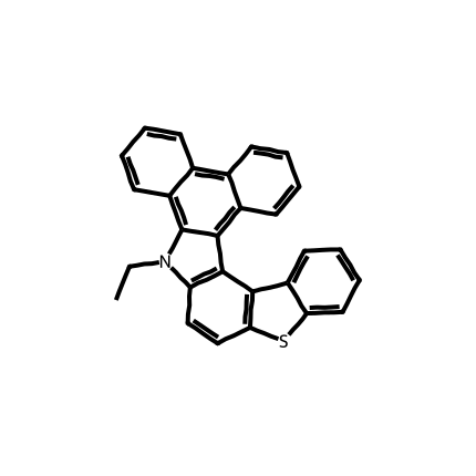 CCn1c2ccc3sc4ccccc4c3c2c2c3ccccc3c3ccccc3c21